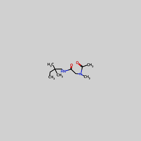 CCC(C)(C)CNC(=O)CN(C)C(C)=O